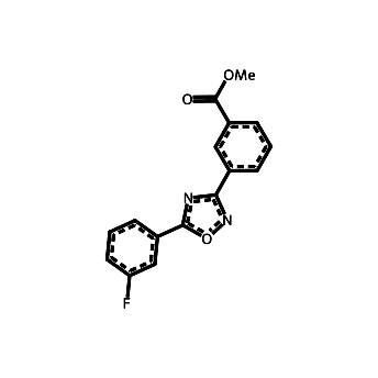 COC(=O)c1cccc(-c2noc(-c3cccc(F)c3)n2)c1